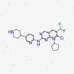 O=c1c(C(F)F)cc2cnc(Nc3ccc(C4CCNCC4)cn3)nc2n1C1CCCC1